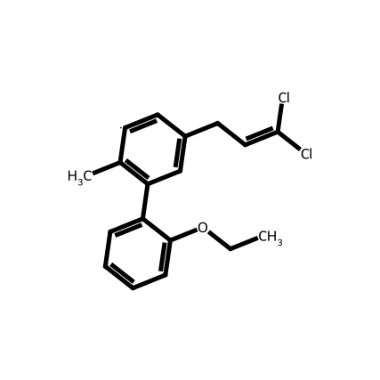 CCOc1ccccc1-c1cc(CC=C(Cl)Cl)c[c]c1C